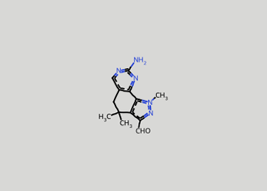 Cn1nc(C=O)c2c1-c1nc(N)ncc1CC2(C)C